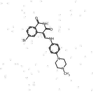 CN1CCN(c2ccc(N/C=C3\C(=O)NC(=O)c4ccc(Br)cc43)cc2)CC1